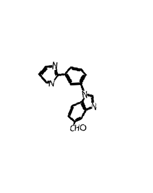 O=Cc1ccc2c(c1)ncn2-c1cccc(-c2ncccn2)c1